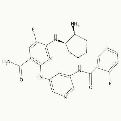 NC(=O)c1cc(F)c(N[C@@H]2CCCC[C@@H]2N)nc1Nc1cncc(NC(=O)c2ccccc2F)c1